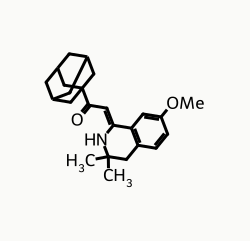 COc1ccc2c(c1)/C(=C/C(=O)C13CC4CC(CC(C4)C1)C3)NC(C)(C)C2